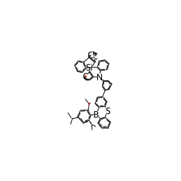 CC(C)c1cc(C(C)C)c(B2c3ccccc3Sc3cc(-c4cccc(N5c6ccccc6[Si]6(c7ccccc7-c7ccccc76)c6ccccc65)c4)ccc32)c(C(C)C)c1